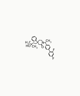 C[C@@H](c1ccc(-c2ccc(F)cc2F)cc1)N1CCC(CCC(C)(C)O)(c2ccccc2)CC1=O